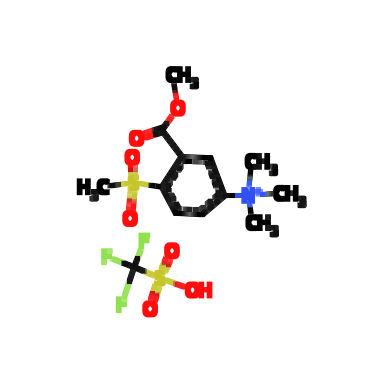 COC(=O)c1cc([N+](C)(C)C)ccc1S(C)(=O)=O.O=S(=O)(O)C(F)(F)F